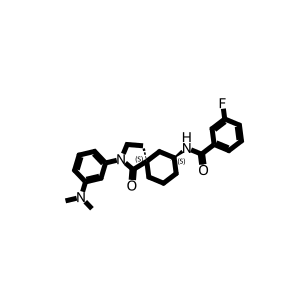 CN(C)c1cccc(N2CC[C@]3(CCC[C@H](NC(=O)c4cccc(F)c4)C3)C2=O)c1